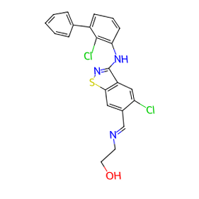 OCCN=Cc1cc2snc(Nc3cccc(-c4ccccc4)c3Cl)c2cc1Cl